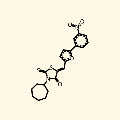 O=C1/C(=C/c2ccc(-c3cccc([N+](=O)[O-])c3)o2)SC(=S)N1C1CCCCCC1